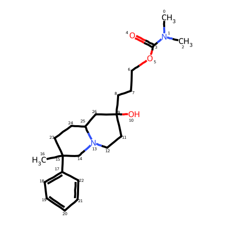 CN(C)C(=O)OCCCC1(O)CCN2CC(C)(c3ccccc3)CCC2C1